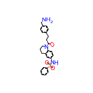 NCc1ccc(CCC(=O)N2CCCc3cc(NS(=O)(=O)c4ccccc4)ccc32)cc1